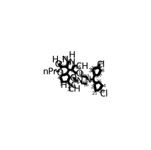 C#Cc1cccc(C2C(C(=O)OC(C)N3CCN(C(c4ccc(Cl)cc4)c4ccc(Cl)cc4)CC3)=C(C)NC(N)=C2C(=O)OCCC)c1